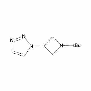 CC(C)(C)N1CC(n2ccnn2)C1